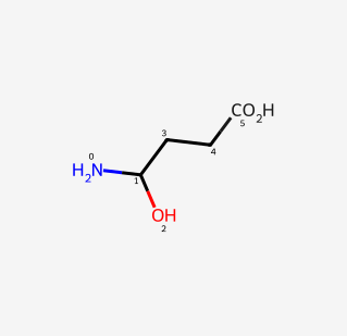 NC(O)CCC(=O)O